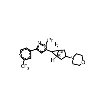 CC(C)n1nc(-c2ccnc(C(F)(F)F)c2)cc1C1[C@H]2CC(N3CCOCC3)C[C@@H]12